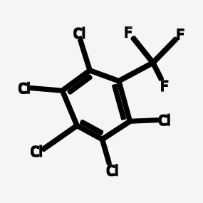 FC(F)(F)c1c(Cl)c(Cl)c(Cl)c(Cl)c1Cl